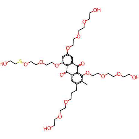 Cc1c(CCCOCCOCCO)cc2c(c1OCCOCCOCCO)C(=O)c1cc(OCCOCCOCCO)cc(OCCOCCOSCCO)c1C2=O